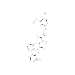 CCOc1ccc(CCNC(=O)C(C)C2Sc3ccccc3N(Cc3ccccc3Cl)C2=O)cc1OCC